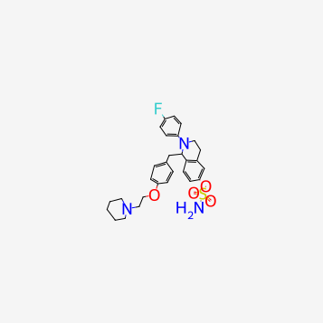 NS(=O)(=O)Oc1ccc2c(c1)CCN(c1ccc(F)cc1)C2Cc1ccc(OCCN2CCCCC2)cc1